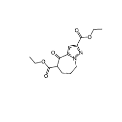 CCOC(=O)c1cc2n(n1)CCCC(C(=O)OCC)C2=O